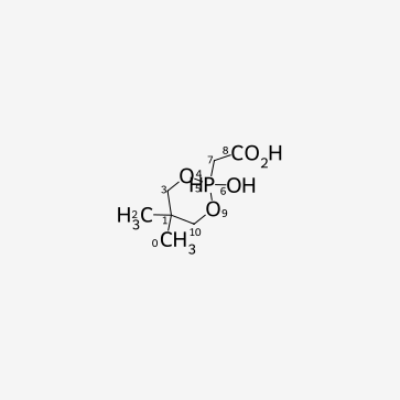 CC1(C)CO[PH](O)(CC(=O)O)OC1